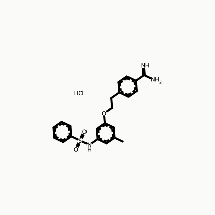 Cc1cc(NS(=O)(=O)c2ccccc2)cc(OCCc2ccc(C(=N)N)cc2)c1.Cl